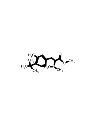 COC(=O)C(Cc1ccc(C(C)(C)C)c(C)c1)N(C)C